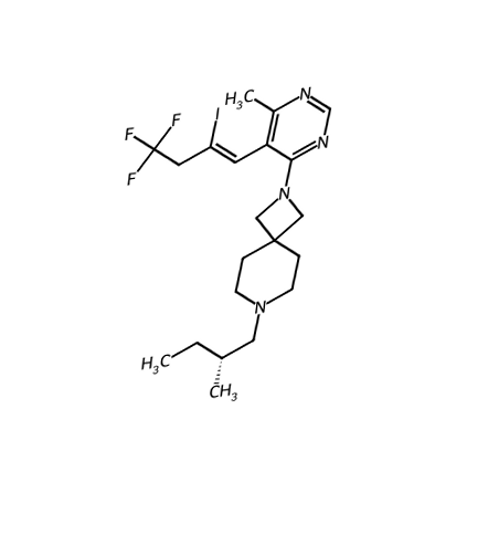 CC[C@@H](C)CN1CCC2(CC1)CN(c1ncnc(C)c1/C=C(\I)CC(F)(F)F)C2